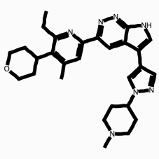 CCc1nc(-c2cc3c(-c4cnn(C5CCN(C)CC5)c4)c[nH]c3nn2)cc(C)c1C1CCOCC1